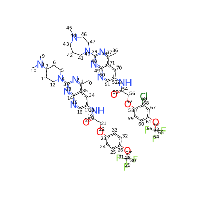 Cc1nc(N2CCC(N(C)C)CC2)nc2ncc(NC(=O)COc3ccc(OC(F)(F)F)cc3)cc12.Cc1nc(N2CCCN(C)CC2)nc2ncc(NC(=O)COc3ccc(OC(F)(F)F)cc3Cl)cc12